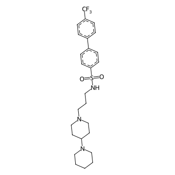 O=S(=O)(NCCCN1CCC(N2CCCCC2)CC1)c1ccc(-c2ccc(C(F)(F)F)cc2)cc1